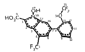 O=C(O)c1cc2c(C(F)(F)F)cc(-c3ccccc3OC(F)(F)F)cc2n1O